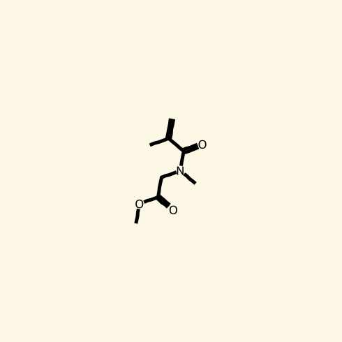 C=C(C)C(=O)N(C)CC(=O)OC